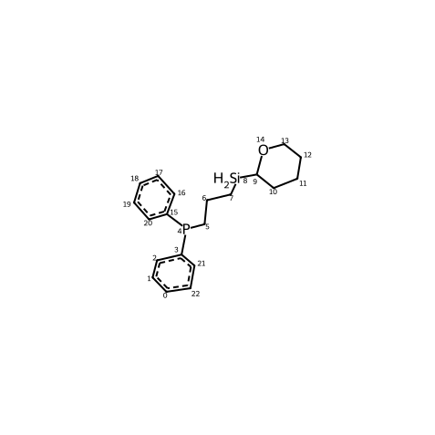 c1ccc(P(CCC[SiH2]C2CCCCO2)c2ccccc2)cc1